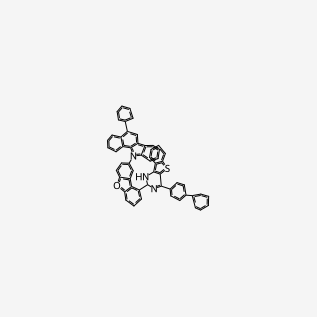 c1ccc(-c2ccc(C3=NC(c4cccc5oc6ccc(-n7c8ccccc8c8cc(-c9ccccc9)c9ccccc9c87)cc6c45)Nc4c3sc3ccccc43)cc2)cc1